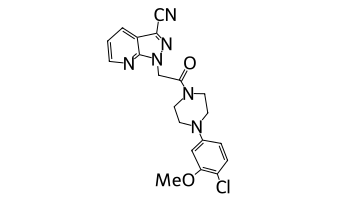 COc1cc(N2CCN(C(=O)Cn3nc(C#N)c4cccnc43)CC2)ccc1Cl